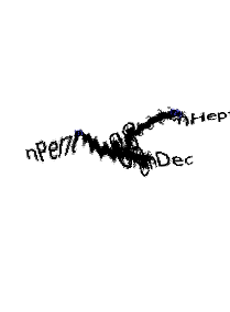 CCCCC/C=C\CCCCCCCC(=O)O[C@@H](COC(=O)CCCCCCC/C=C\CCCCCCC)COC(=O)CCCCCCCCCCC